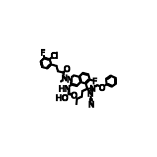 CCCCC1(c2c(F)ccc3c2C=C(NC(=O)O)N(N(C)C(=O)CCc2cccc(F)c2Cl)C3)N(C#N)N1COc1ccccc1